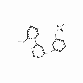 CS(=O)(=O)Nc1cccc(Nc2cc(-c3ccccc3CO)ncn2)c1